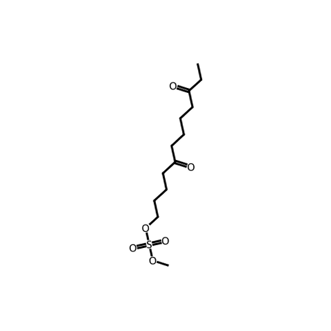 CCC(=O)CCCCC(=O)CCCCOS(=O)(=O)OC